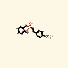 O=C(O)c1ccc(C=CS(=O)(=O)Cc2ccccc2I)cc1